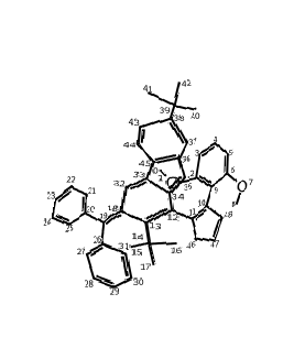 COc1cccc(OC)c1C1=C(c2c(C(C)(C)C)c(=C(c3ccccc3)c3ccccc3)cc3c2=[C]c2cc(C(C)(C)C)ccc2-3)CC=C1